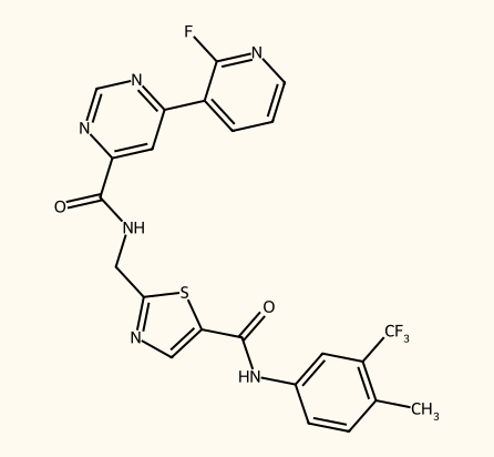 Cc1ccc(NC(=O)c2cnc(CNC(=O)c3cc(-c4cccnc4F)ncn3)s2)cc1C(F)(F)F